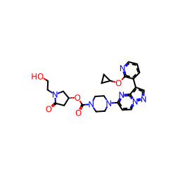 O=C1C[C@H](OC(=O)N2CCN(c3ccn4ncc(-c5cccnc5OC5CC5)c4n3)CC2)CN1CCO